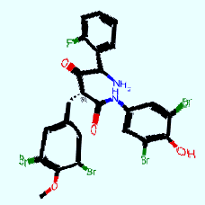 COc1c(Br)cc(C[C@@H](C(=O)Nc2cc(Br)c(O)c(Br)c2)C(=O)C(N)c2ccccc2F)cc1Br